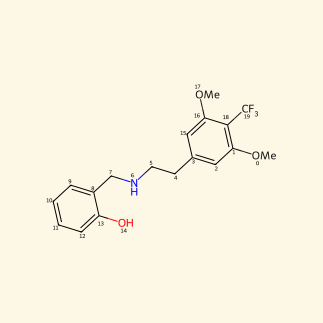 COc1cc(CCNCc2ccccc2O)cc(OC)c1C(F)(F)F